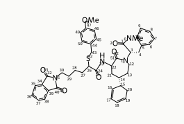 CNC(=O)[C@H](Cc1ccccc1)N1CCC([C@H]2C=CC=CC2)CC(NC(=O)C(CCCCN2C(=O)c3ccccc3C2=O)SCc2ccc(OC)cc2)C1=O